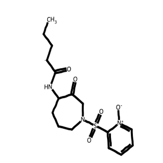 CCC[CH]C(=O)NC1CCCN(S(=O)(=O)c2cccc[n+]2[O-])CC1=O